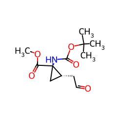 COC(=O)[C@@]1(NC(=O)OC(C)(C)C)C[C@H]1CC=O